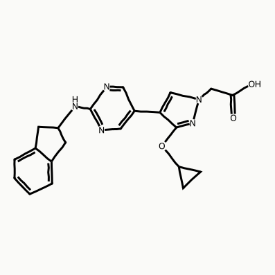 O=C(O)Cn1cc(-c2cnc(NC3Cc4ccccc4C3)nc2)c(OC2CC2)n1